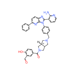 Nc1ncccc1-c1nc2ccc(-c3ccccc3)nc2n1-c1ccc(CN2CC3CN(C(=O)c4ccc(O)c(C=O)c4)C[C@@H]3C2)cc1